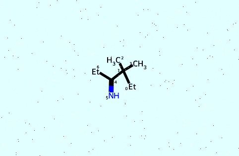 [CH2]CC(C)(C)C(=N)CC